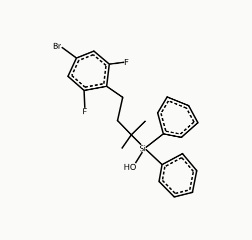 CC(C)(CCc1c(F)cc(Br)cc1F)[Si](O)(c1ccccc1)c1ccccc1